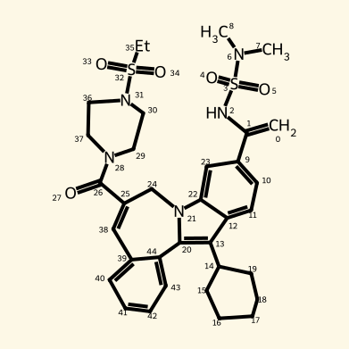 C=C(NS(=O)(=O)N(C)C)c1ccc2c(C3CCCCC3)c3n(c2c1)CC(C(=O)N1CCN(S(=O)(=O)CC)CC1)=Cc1ccccc1-3